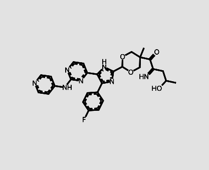 CC(O)CC(=N)C(=O)C1(C)COC(c2nc(-c3ccc(F)cc3)c(-c3ccnc(Nc4ccncc4)n3)[nH]2)OC1